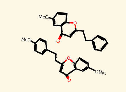 COc1ccc(CCc2cc(=O)c3cc(OC)ccc3o2)cc1.COc1ccc2oc(CCc3ccccc3)cc(=O)c2c1